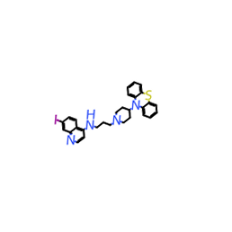 Ic1ccc2c(NCCCN3CCC(N4c5ccccc5Sc5ccccc54)CC3)ccnc2c1